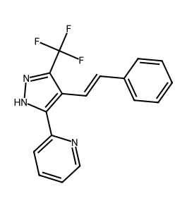 FC(F)(F)c1n[nH]c(-c2ccccn2)c1C=Cc1ccccc1